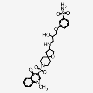 Cn1cc(S(=O)(=O)N2CCC3(CC2)CC(NCC(O)COc2cccc(S(N)(=O)=O)c2)CO3)c(=O)c2ccccc21